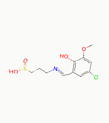 COc1cc(Cl)cc(/C=N/CCCS(=O)O)c1O